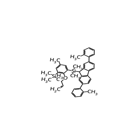 C=CCOc1c([Si](C)(C)C)cc(C)cc1[Si](C)(C)C1c2cc(-c3ccccc3C)ccc2-c2ccc(-c3ccccc3C)cc21